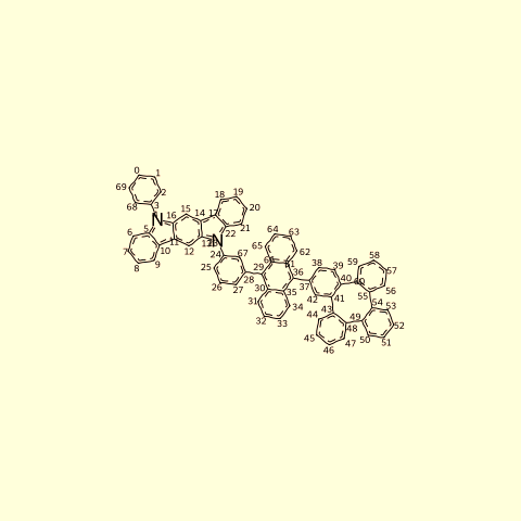 c1ccc(-n2c3ccccc3c3cc4c(cc32)c2ccccc2n4-c2cccc(-c3c4ccccc4c(-c4ccc5c(c4)-c4ccccc4-c4ccccc4-c4ccccc4-5)c4ccccc34)c2)cc1